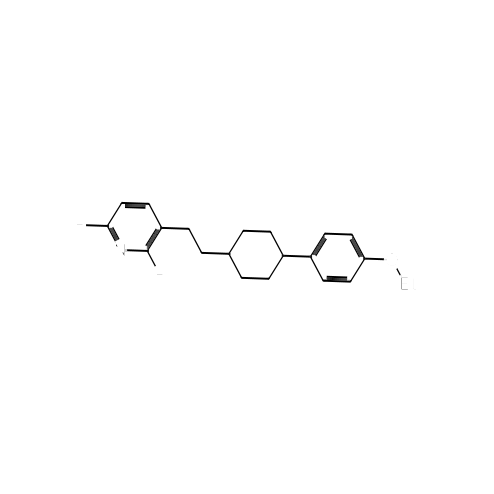 CCOc1ccc(C2CCC(CCc3ccc(F)nc3F)CC2)cc1